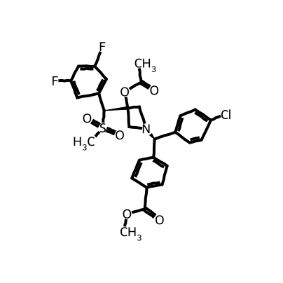 COC(=O)c1ccc([C@H](c2ccc(Cl)cc2)N2CC(OC(C)=O)([C@H](c3cc(F)cc(F)c3)S(C)(=O)=O)C2)cc1